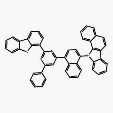 c1ccc(-c2cc(-c3ccc(-n4c5ccccc5c5ccc6ccccc6c54)c4ccccc34)nc(-c3cccc4c3sc3ccccc34)n2)cc1